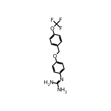 NC(N)=Nc1ccc(OCc2ccc(OC(F)(F)F)cc2)cc1